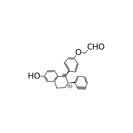 O=CCOc1ccc([C@@H]2c3ccc(O)cc3CC[C@@H]2c2c#cccc2)cc1